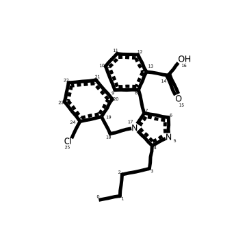 CCCCc1ncc(-c2ccccc2C(=O)O)n1Cc1ccccc1Cl